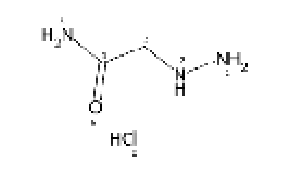 Cl.NNCC(N)=O